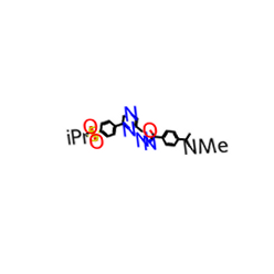 CNC(C)c1ccc(-c2nnc(-c3cncc(-c4ccc(S(=O)(=O)C(C)C)cc4)n3)o2)cc1